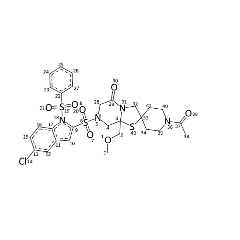 COCC12CN(S(=O)(=O)c3cc4cc(Cl)ccc4n3S(=O)(=O)c3ccccc3)CC(=O)N1CC1(CCN(C(C)=O)CC1)S2